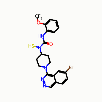 O=C(Nc1ccccc1OC(F)(F)F)N(S)C1CCN(c2nncc3ccc(Br)cc23)CC1